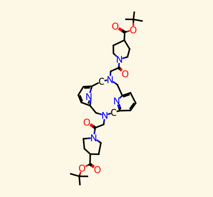 CC(C)(C)OC(=O)C1CCN(C(=O)CN2Cc3cccc(n3)CN(CC(=O)N3CCC(C(=O)OC(C)(C)C)CC3)Cc3cccc(n3)C2)CC1